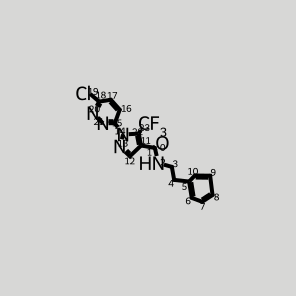 O=C(NCCc1ccccc1)c1cnn(-c2ccc(Cl)nn2)c1C(F)(F)F